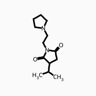 CC(C)C1CC(=O)N(CCN2CCCC2)C1=O